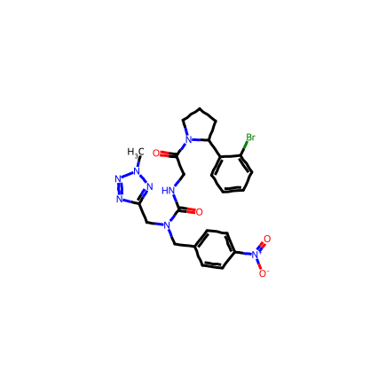 Cn1nnc(CN(Cc2ccc([N+](=O)[O-])cc2)C(=O)NCC(=O)N2CCCC2c2ccccc2Br)n1